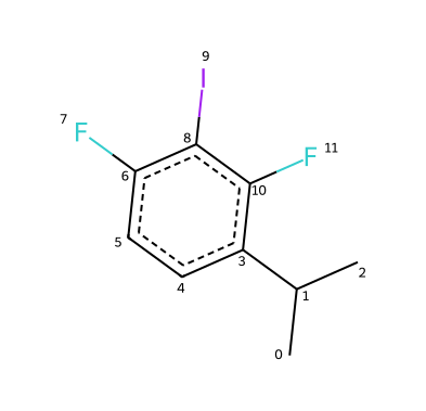 CC(C)c1ccc(F)c(I)c1F